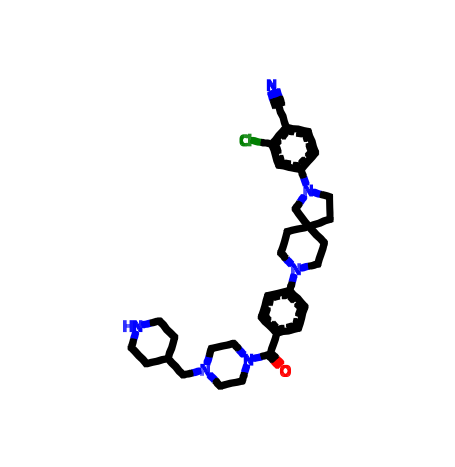 N#Cc1ccc(N2CCC3(CCN(c4ccc(C(=O)N5CCN(CC6CCNCC6)CC5)cc4)CC3)C2)cc1Cl